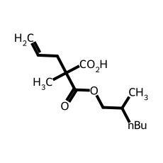 C=CCC(C)(C(=O)O)C(=O)OCC(C)CCCC